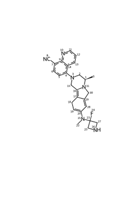 C[C@@H]1CN(c2ccc(C#N)c3ncccc23)CC2=C3CC=C(N(C)C4(F)CNC4)C=C3CN21